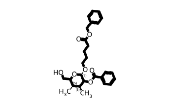 C[C@@H]1C(CO)O[C@H](OCCCCC(=O)OCc2ccccc2)C(OC(=O)c2ccccc2)[C@H]1C